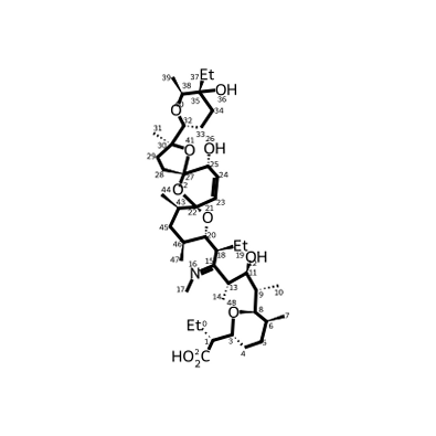 CC[C@@H](C(=O)O)[C@H]1CC[C@H](C)[C@H]([C@@H](C)[C@H](O)[C@H](C)/C(=N\C)[C@H](CC)[C@H]2O[C@]3(C=C[C@@H](O)[C@]4(CC[C@@](C)([C@H]5CC[C@](O)(CC)[C@H](C)O5)O4)O3)[C@H](C)C[C@@H]2C)O1